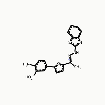 C/C(=N\Nc1nc2ccccc2s1)c1ccc(-c2ccc(N)c(C(=O)O)c2)o1